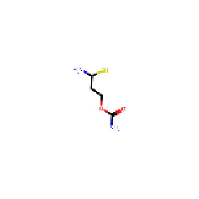 NC(=O)OCCC(N)S